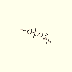 CC#Cc1cc(C)c(C2C(=O)CC3(CCN(C(=O)NCC(F)F)CC3)CC2=O)c(C)c1